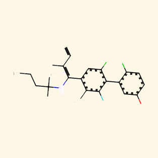 C=C/C(CC)=C(/NC(CCC)(CCC(C)C)C(C)=O)c1cc(Cl)c(-c2cc(O)ccc2Cl)c(F)c1CCC